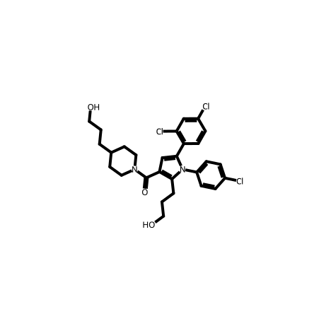 O=C(c1cc(-c2ccc(Cl)cc2Cl)n(-c2ccc(Cl)cc2)c1CCCO)N1CCC(CCCO)CC1